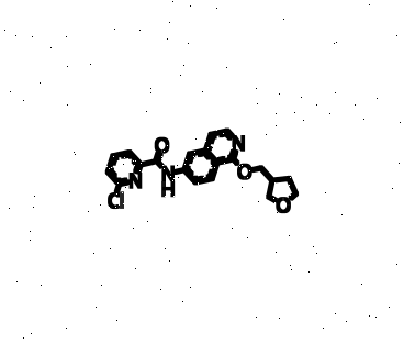 O=C(Nc1ccc2c(OCC3CCOC3)nccc2c1)c1cccc(Cl)n1